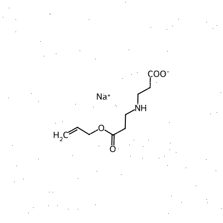 C=CCOC(=O)CCNCCC(=O)[O-].[Na+]